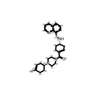 O=C(C1=CC[C@@H](NSc2cccc3cccnc23)CC1)N1CCN([C@@H]2CC=C(F)CC2)CC1